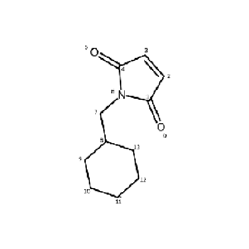 O=C1C=CC(=O)N1CC1CC[CH]CC1